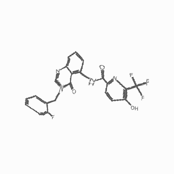 O=C(Nc1cccc2ncn(Cc3ccccc3F)c(=O)c12)c1ccc(O)c(C(F)(F)F)n1